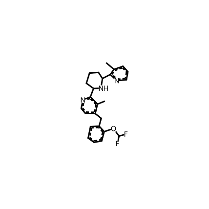 Cc1cccnc1C1CCCC(c2nccc(Cc3ccccc3OC(F)F)c2C)N1